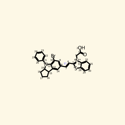 O=C(O)C[n+]1c(/C=C/c2cc(Br)c3c(c2)C2CCCC2N3c2ccccc2)sc2ccccc21